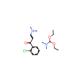 CCOC(OCC)N(C)C.CN(C)C=CC(=O)c1ccccc1Cl